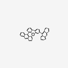 c1ccc2c(-c3ccc4c(c3)oc3c(-c5c6ccccc6cc6ccccc56)cccc34)c3ccccc3cc2c1